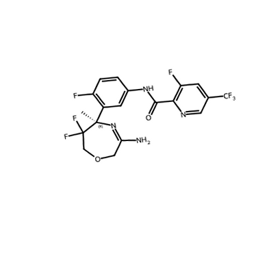 C[C@]1(c2cc(NC(=O)c3ncc(C(F)(F)F)cc3F)ccc2F)N=C(N)COCC1(F)F